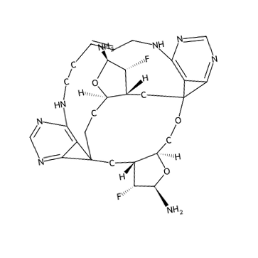 N[C@@H]1O[C@@H]2CCC34C[C@H]5[C@@H](F)[C@H](N)O[C@@H]5COC5(C[C@H]2[C@H]1F)c1ncnc(c15)NC/C=C/CCNc1ncnc3c14